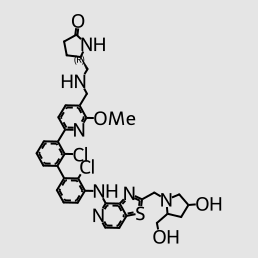 COc1nc(-c2cccc(-c3cccc(Nc4nccc5sc(CN6CC(O)CC6CO)nc45)c3Cl)c2Cl)ccc1CNC[C@H]1CCC(=O)N1